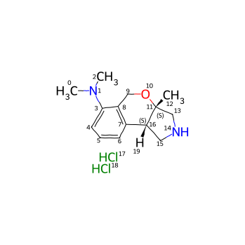 CN(C)c1cccc2c1CO[C@]1(C)CNC[C@H]21.Cl.Cl